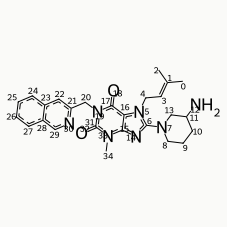 CC(C)=CCn1c(N2CCCC(N)C2)nc2c1c(=O)n(Cc1cc3ccccc3cn1)c(=O)n2C